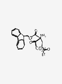 CCC(=O)CCC(N)(C(=O)OCC1c2ccccc2-c2ccccc21)C(=O)C(=O)O